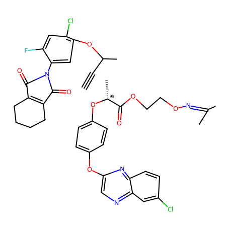 C#CC(C)Oc1cc(N2C(=O)C3=C(CCCC3)C2=O)c(F)cc1Cl.CC(C)=NOCCOC(=O)[C@@H](C)Oc1ccc(Oc2cnc3cc(Cl)ccc3n2)cc1